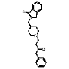 O=C(CCN1CCC(CN2Cc3ccccc3C2=O)CC1)Cc1ccccc1